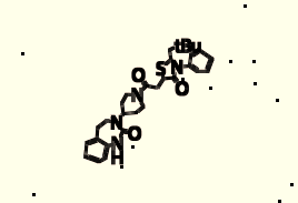 CC(C)(C)CC1SC(CC(=O)N2CCC(N3CCc4ccccc4NC3=O)CC2)C(=O)N1c1ccccc1